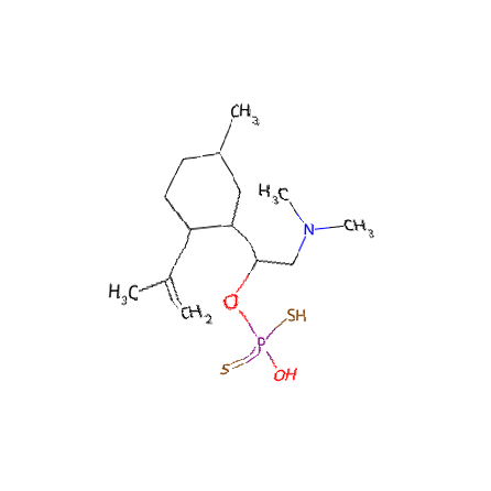 C=C(C)C1CCC(C)CC1C(CN(C)C)OP(O)(=S)S